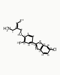 NC/C(=C/F)COc1ccc(-c2nc3ccc(Cl)cc3s2)cc1F